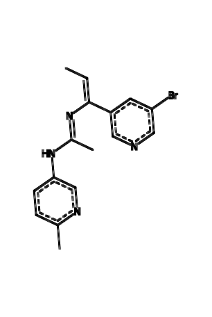 C/C=C(\N=C(/C)Nc1ccc(C)nc1)c1cncc(Br)c1